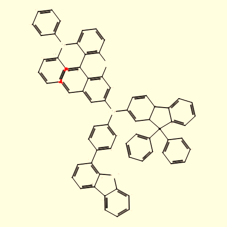 C1=CC2c3ccccc3C(c3ccccc3)(c3ccccc3)C2C=C1N(c1ccc(-c2cccc3c2oc2ccccc23)cc1)c1cc2c3c(cccc3c1)-c1c(cccc1N(c1ccccc1)c1ccccc1)O2